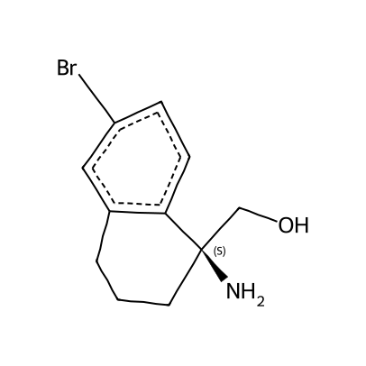 N[C@@]1(CO)CCCc2cc(Br)ccc21